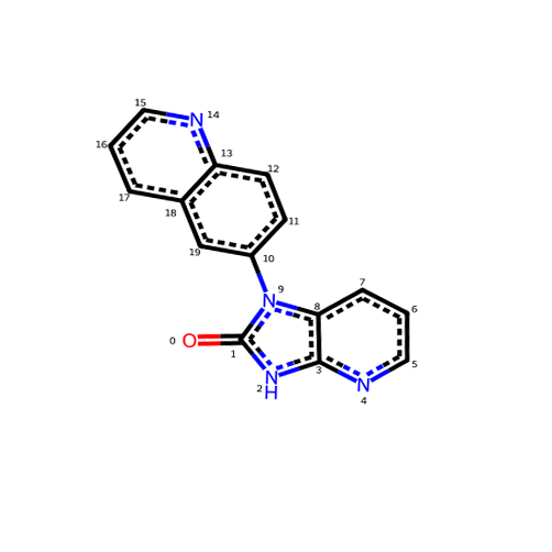 O=c1[nH]c2ncccc2n1-c1ccc2ncccc2c1